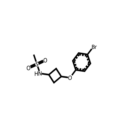 CS(=O)(=O)NC1CC(Oc2ccc(Br)cc2)C1